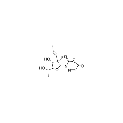 CC#CC1(F)[C@@H](O)[C@@H]([C@@H](C)O)O[C@H]1n1ncc(=O)[nH]c1=O